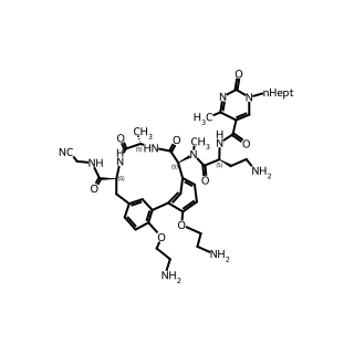 CCCCCCCn1cc(C(=O)N[C@@H](CCN)C(=O)N(C)[C@@H]2C(=O)N[C@@H](C)C(=O)N[C@H](C(=O)NCC#N)Cc3ccc(OCCN)c(c3)-c3cc2ccc3OCCN)c(C)nc1=O